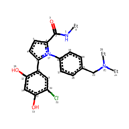 CCNC(=O)c1ccc(-c2cc(Cl)c(O)cc2O)n1-c1ccc(CN(CC)CC)cc1